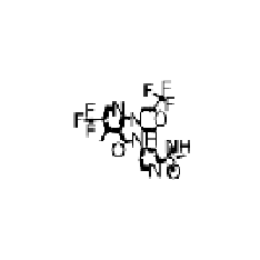 Cc1c(C(F)(F)F)cnc(N2CCO[C@H](C(F)(F)F)C2)c1C(=O)Nc1ccnc(S(C)(=N)=O)c1